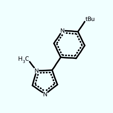 Cn1cncc1-c1ccc(C(C)(C)C)nc1